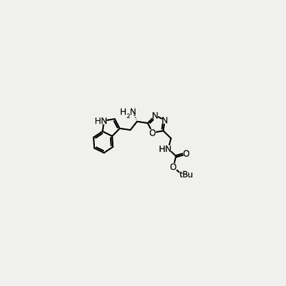 CC(C)(C)OC(=O)NCc1nnc([C@@H](N)Cc2c[nH]c3ccccc23)o1